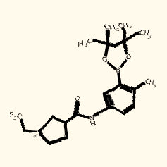 Cc1ccc(NC(=O)C2CC[C@@H](CC(F)(F)F)C2)cc1B1OC(C)(C)C(C)(C)O1